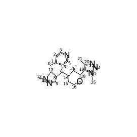 Cc1ccncc1C(C1C=NN(C)C1)C1CCOC(c2c(C)nnn2C)C1